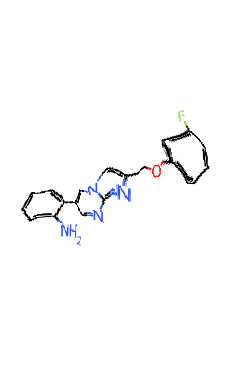 Nc1ccccc1-c1cnc2nc(COc3cccc(F)c3)cn2c1